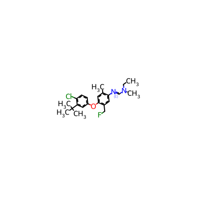 CCN(C)/C=N/c1cc(CF)c(Oc2ccc(Cl)c(C(C)(C)C)c2)cc1C